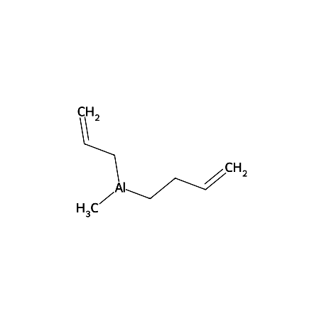 C=CC[CH2][Al]([CH3])[CH2]C=C